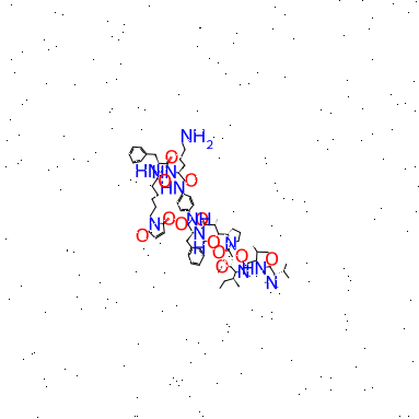 CC[C@H](C)[C@@H]([C@@H](CC(=O)N1CCC[C@H]1[C@H](OC)[C@@H](C)C(=O)N[C@@H](Cc1ccccc1)C(=O)Nc1ccc(NC(=O)[C@H](CCCCN)NC(=O)[C@H](Cc2ccccc2)NC(=O)CCCCCN2C(=O)C=CC2=O)cc1)OC)N(C)C(=O)[C@@H](NC(=O)[C@H](C(C)C)N(C)C)C(C)C